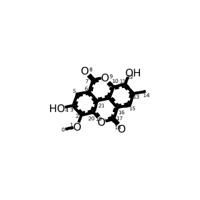 COc1c(O)cc2c(=O)oc3c(O)c(C)cc4c(=O)oc1c2c34